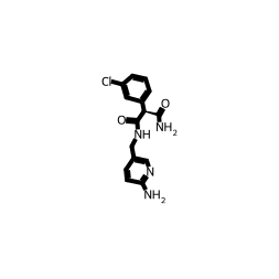 NC(=O)[C@@H](C(=O)NCc1ccc(N)nc1)c1cccc(Cl)c1